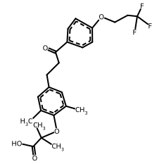 Cc1cc(CCC(=O)c2ccc(OCCC(F)(F)F)cc2)cc(C)c1OC(C)(C)C(=O)O